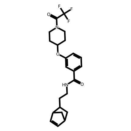 O=C(NCCC1CC2C=CC1C2)c1cccc(OC2CCN(C(=O)C(F)(F)F)CC2)c1